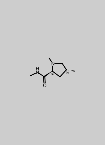 CNC(=O)[C@@H]1C[C@@H](C)CN1C